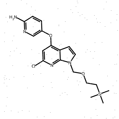 C[Si](C)(C)CCOCn1ccc2c(Oc3ccc(N)nc3)cc(Cl)nc21